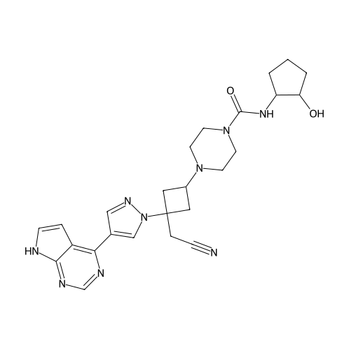 N#CCC1(n2cc(-c3ncnc4[nH]ccc34)cn2)CC(N2CCN(C(=O)NC3CCCC3O)CC2)C1